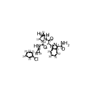 NC(=O)c1nn(CC(=O)N2[C@@H]3C[C@@H]3C[C@H]2C(=O)N[C@H]2C[C@@H]2c2ccccc2Cl)c2ccccc12